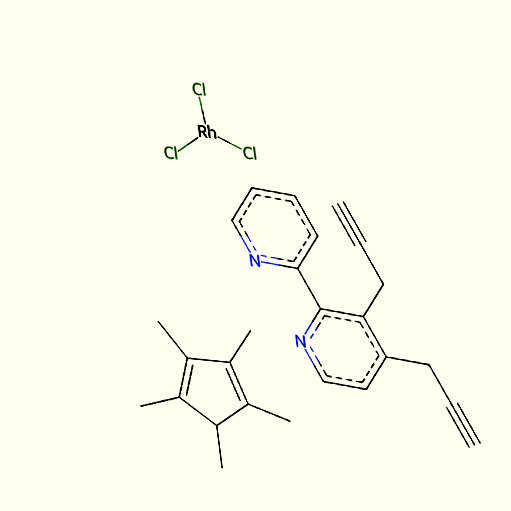 C#CCc1ccnc(-c2ccccn2)c1CC#C.CC1=C(C)C(C)C(C)=C1C.[Cl][Rh]([Cl])[Cl]